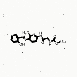 CC(C)(C)OC(=O)NCC(=O)Nc1ccc(/N=N/c2ccccc2O)c(N)n1